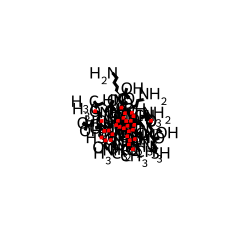 CC(C)C[C@H](NC(=O)[C@H](CCCCN)NC(=O)CNC(=O)[C@H](CC(C)C)NC(=O)[C@@H](NC(=O)[C@H](CS)NC(=O)[C@@H](NC(=O)[C@H](CO)NC(=O)[C@H](CC(C)C)NC(=O)[C@H](CC(N)=O)NC(=O)[C@H](CO)NC(=O)[C@@H](N)CS)[C@@H](C)O)C(C)C)C(=O)N[C@@H](CO)C(=O)N[C@@H](CCC(N)=O)C(=O)N[C@@H](CCC(=O)O)C(=O)N[C@@H](CC(C)C)C(=O)N[C@@H](Cc1c[nH]cn1)C(=O)N[C@@H](CCCCN)C(=O)O